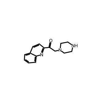 O=C(CN1CCNCC1)c1ccc2ccccc2n1